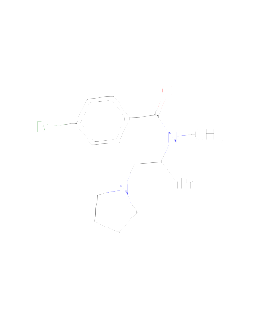 CC(C)C(CN1CCCC1)N(C)C(=O)c1ccc(Br)cc1